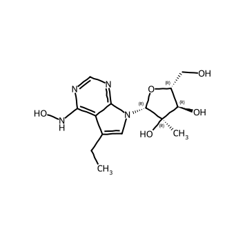 CCc1cn([C@@H]2O[C@H](CO)[C@@H](O)[C@@]2(C)O)c2ncnc(NO)c12